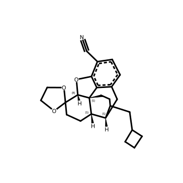 N#Cc1ccc2c3c1O[C@H]1C4(CC[C@H]5[C@@H](C2)C(CC2CCC2)CC[C@@]351)OCCO4